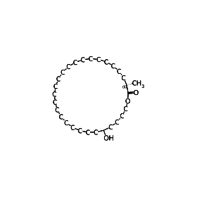 C[C@H]1CCCCCCCCCCCCCCCCCCCCCC(O)CCCCOC1=O